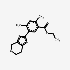 CCOC(=O)c1cc(-c2nc3c(s2)COCC3)c(C)cc1C